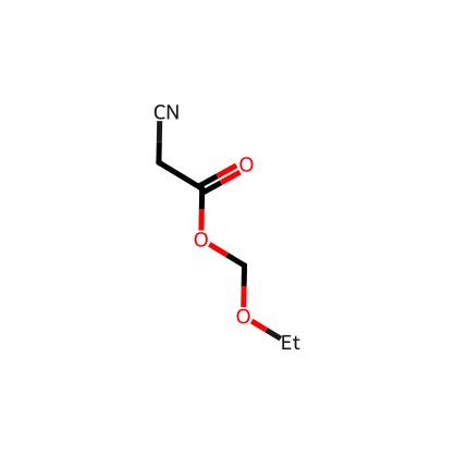 CCOCOC(=O)CC#N